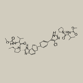 CC[C@@H]1CC[C@@H](c2nc3ccc4cc(-c5ccc(-c6[nH]c([C@@H]7CCCN7C(=O)[C@@H](NC(=O)OC)C(C)C)nc6Cl)cc5)ccc4c3[nH]2)N1C(=O)[C@@H](NC(=O)OC)C(C)C